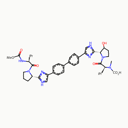 COC(=O)N[C@H](C(=O)N1CCC[C@H]1c1nc(-c2ccc(-c3ccc(-c4c[nH]c([C@@H]5C(O)CCN5C(=O)[C@H](C(C)C)N(C)C(=O)O)n4)cc3)cc2)c[nH]1)C(C)C